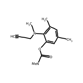 C#CCN(C)c1c(C)cc(C)cc1OC(=O)NC